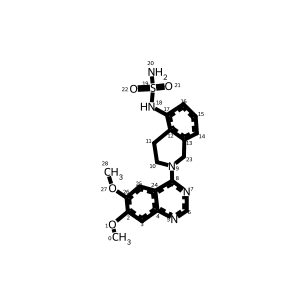 COc1cc2ncnc(N3CCc4c(cccc4NS(N)(=O)=O)C3)c2cc1OC